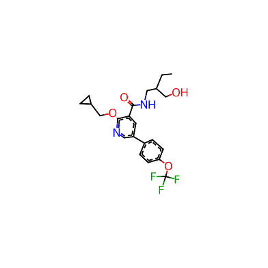 CCC(CO)CNC(=O)c1cc(-c2ccc(OC(F)(F)F)cc2)cnc1OCC1CC1